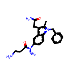 Cc1c(CC(N)=O)c2cc(N(N)C(=O)CCN)ccc2n1Cc1ccccc1